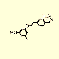 Cc1cc(O)cc(OCCc2ccc(/C=N\N)cc2)c1